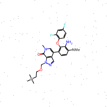 CNc1ccc(-c2cn(C)c(=O)c3c2cnn3COCC[Si](C)(C)C)c(Oc2ccc(F)cc2F)c1N